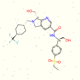 CCS(=O)(=O)c1ccc([C@H](CO)NC(=O)c2cnc3c(c2)CN(C[C@H]2CC[C@H](C(F)(F)F)CC2)[C@@H]3CO)cc1